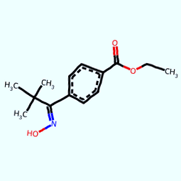 CCOC(=O)c1ccc(C(=NO)C(C)(C)C)cc1